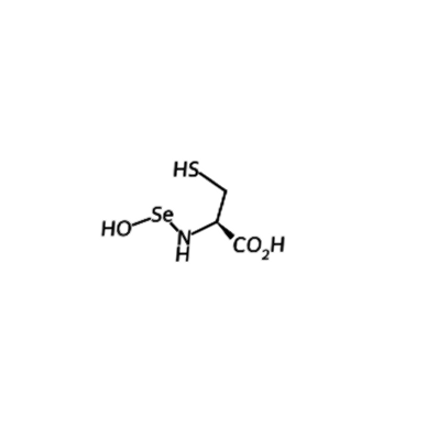 O=C(O)[C@H](CS)N[Se]O